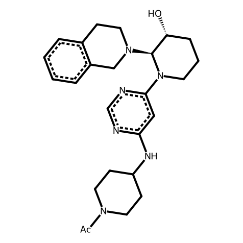 CC(=O)N1CCC(Nc2cc(N3CCC[C@@H](O)[C@@H]3N3CCc4ccccc4C3)ncn2)CC1